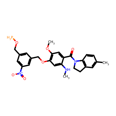 CNc1cc(OCc2cc(COP)cc([N+](=O)[O-])c2)c(OC)cc1C(=O)N1CCc2cc(C)ccc21